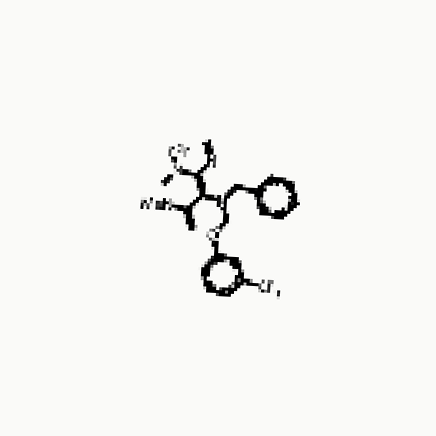 C=N/C(=C(/C(=C)NC)N(COc1cccc(C(F)(F)F)c1)Cc1ccccc1)N(C)CCC